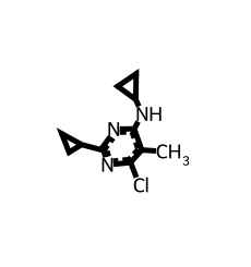 Cc1c(Cl)nc(C2CC2)nc1NC1CC1